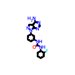 Nc1ncnc2c1cnn2-c1cccc(NC(=O)Nc2ccccc2F)c1